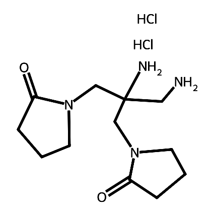 Cl.Cl.NCC(N)(CN1CCCC1=O)CN1CCCC1=O